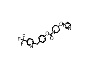 O=C(Oc1ccc(Cc2ccc(C(F)(F)F)cn2)cc1)N1CCC(On2ccnc2)CC1